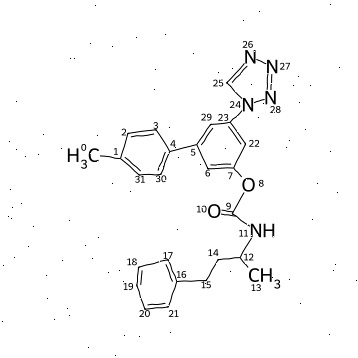 Cc1ccc(-c2cc(OC(=O)NC(C)CCc3ccccc3)cc(-n3cnnn3)c2)cc1